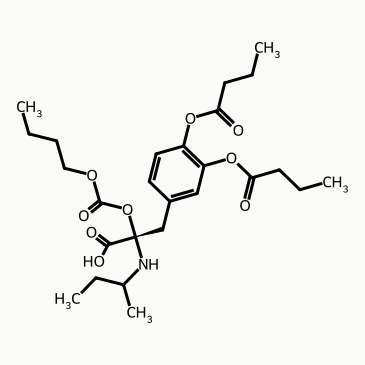 CCCCOC(=O)O[C@](Cc1ccc(OC(=O)CCC)c(OC(=O)CCC)c1)(NC(C)CC)C(=O)O